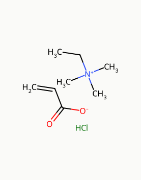 C=CC(=O)[O-].CC[N+](C)(C)C.Cl